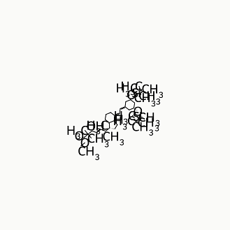 CCOC(=O)C(C)(C)[C@@H](O)/C=C/[C@@H](C)[C@H]1CC[C@H]2/C(=C/C=C3C[C@@H](O[Si](C)(C)C(C)(C)C)C[C@H](O[Si](C)(C)C(C)(C)C)C3)CCC[C@]12C